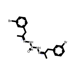 C/C(Cc1cccc(Br)c1)=N/N[PH](=O)N/N=C(/C)Cc1cccc(Br)c1